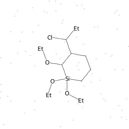 CCOC1C(C(Cl)CC)CCC[Si]1(OCC)OCC